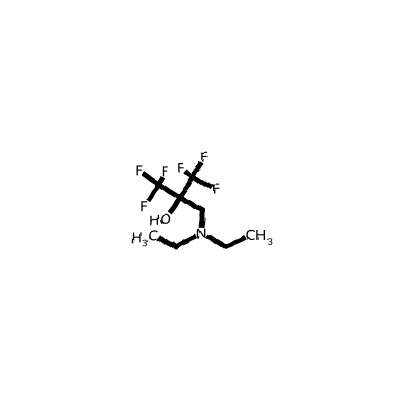 CCN(CC)CC(O)(C(F)(F)F)C(F)(F)F